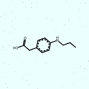 CCCNc1ccc(CC(=O)O)cc1